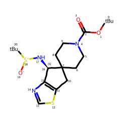 CC(C)(C)OC(=O)N1CCC2(CC1)Cc1scnc1[C@H]2N[S+]([O-])C(C)(C)C